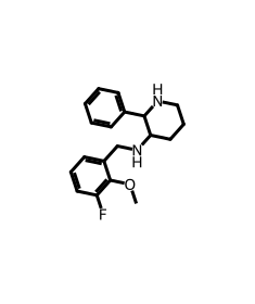 COc1c(F)cccc1CNC1CCCNC1c1ccccc1